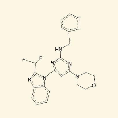 FC(F)c1nc2ccccc2n1-c1cc(N2CCOCC2)nc(NCc2ccccc2)n1